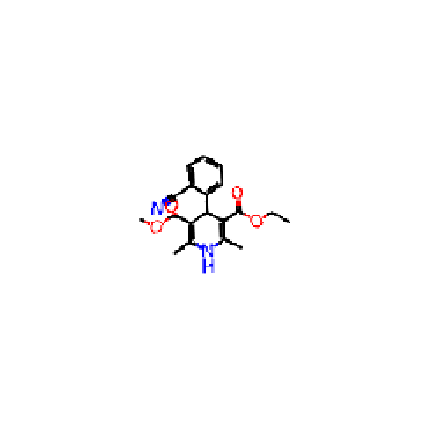 CCOC(=O)C1=C(C)NC(C)=C(C(=O)OC)C1c1ccccc1C#N